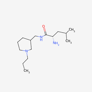 CCCN1CCCC(CNC(=O)[C@@H](N)CC(C)C)C1